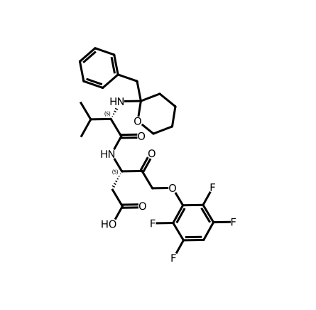 CC(C)[C@H](NC1(Cc2ccccc2)CCCCO1)C(=O)N[C@@H](CC(=O)O)C(=O)COc1c(F)c(F)cc(F)c1F